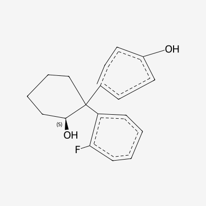 Oc1ccc(C2(c3ccccc3F)CCCC[C@@H]2O)cc1